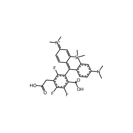 CN(C)c1ccc2c(c1)[Si](C)(C)C1=CC(=[N+](C)C)C=CC1=C2c1c(F)c(CC(=O)O)c(F)c(F)c1C(=O)O